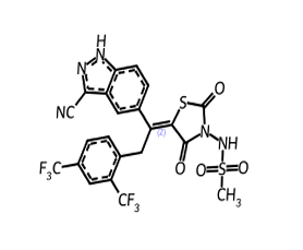 CS(=O)(=O)NN1C(=O)S/C(=C(/Cc2ccc(C(F)(F)F)cc2C(F)(F)F)c2ccc3[nH]nc(C#N)c3c2)C1=O